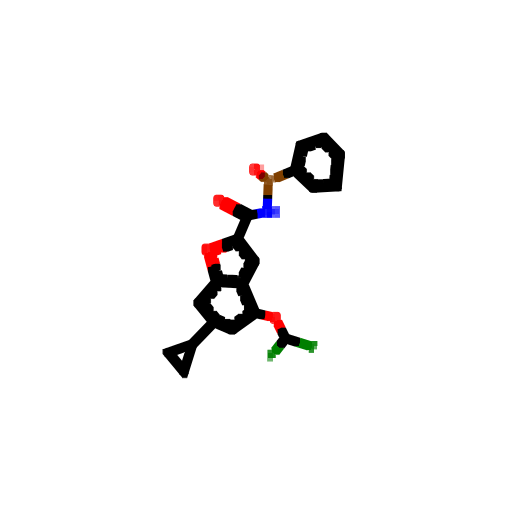 O=C(N[S+]([O-])c1ccccc1)c1cc2c(OC(F)F)cc(C3CC3)cc2o1